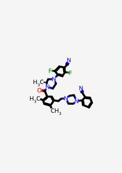 Cc1cc(C)c(C(=O)N2CCN(c3cc(F)c(C#N)cc3F)C[C@@H]2C)cc1CCN1CCN(c2ccccc2C#N)CC1